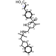 CN(CC(O)CNC(C)(C)CC1Cc2ccccc2C1)S(=O)(=O)c1ccc(/C=C/C(=O)O)cc1